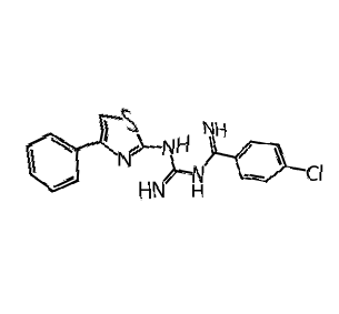 N=C(NC(=N)c1ccc(Cl)cc1)Nc1nc(-c2ccccc2)cs1